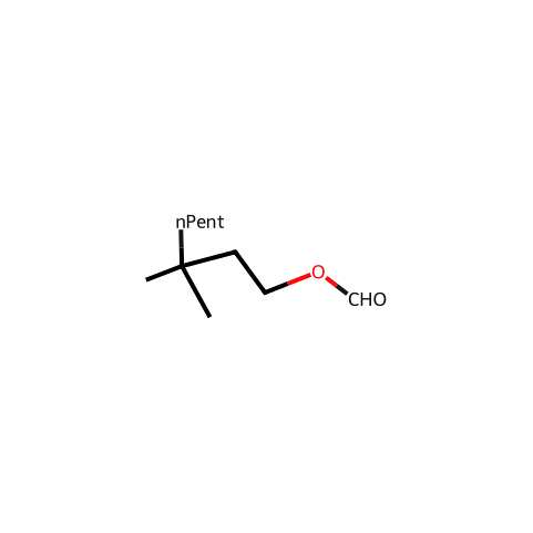 CCCCCC(C)(C)CCOC=O